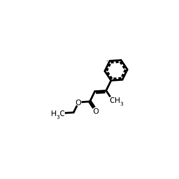 CCOC(=O)/C=C(\C)c1c[c]ccc1